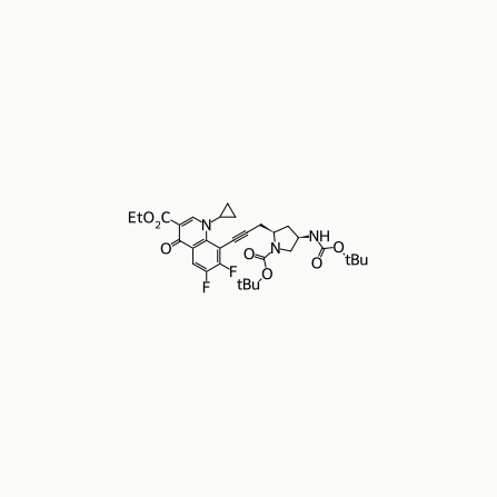 CCOC(=O)c1cn(C2CC2)c2c(C#CC[C@H]3C[C@@H](NC(=O)OC(C)(C)C)CN3C(=O)OC(C)(C)C)c(F)c(F)cc2c1=O